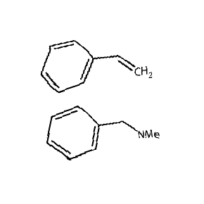 C=Cc1ccccc1.CNCc1ccccc1